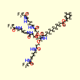 O=C(CCOCC(COCCC(=O)NCCCCCNC(=O)C(F)(F)F)(COCCC(=O)NCCCCCNC(=O)C(F)(F)F)NC(=O)CCCCCCCCCCC(=O)OCc1ccccc1)NCCCCCNC(=O)C(F)(F)F